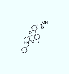 CCN(Cc1cc(C)ccc1-c1cc(CC(=O)O)ccc1OC)C(=O)NCc1ccccc1